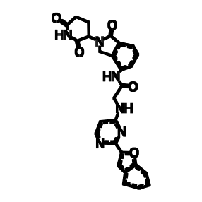 O=C1CCC(N2Cc3c(NC(=O)CNc4ccnc(-c5cc6ccccc6o5)n4)cccc3C2=O)C(=O)N1